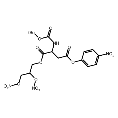 CC(C)(C)OC(=O)NC(CC(=O)Oc1ccc([N+](=O)[O-])cc1)C(=O)OCC(CO[N+](=O)[O-])O[N+](=O)[O-]